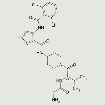 CC(C)[C@H](NC(=O)CN)C(=O)N1CCC(NC(=O)c2n[nH]cc2NC(=O)c2c(Cl)cccc2Cl)CC1